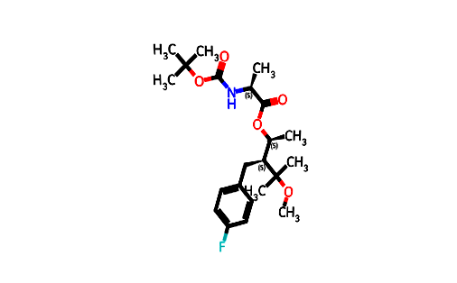 COC(C)(C)[C@@H](Cc1ccc(F)cc1)[C@H](C)OC(=O)[C@H](C)NC(=O)OC(C)(C)C